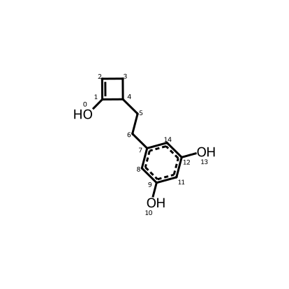 OC1=CCC1CCc1cc(O)cc(O)c1